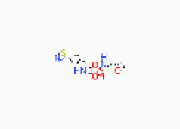 O=C(NCC[C@H]1CCCO1)O[C@@H]1[C@@H](O)CN[C@@H]1Cc1ccc(-c2cncs2)cc1